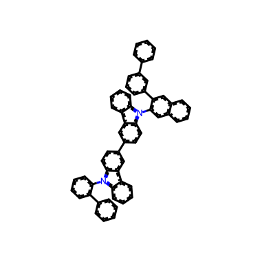 c1ccc(-c2cccc(-c3cc4ccccc4cc3-n3c4ccccc4c4cc(-c5ccc6c(c5)c5ccccc5n6-c5ccccc5-c5ccccc5)ccc43)c2)cc1